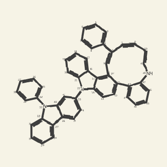 C1=C\C(c2ccccc2)=C/c2c(ccc3c2c2ccccc2n3-c2ccc3c4ccccc4n(-c4ccccc4)c3c2)-c2ccccc2N/C=C/1